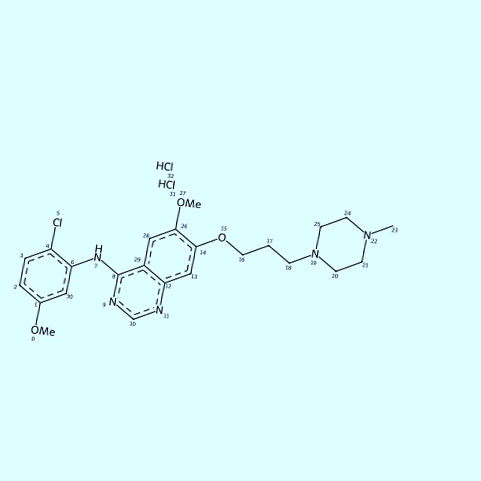 COc1ccc(Cl)c(Nc2ncnc3cc(OCCCN4CCN(C)CC4)c(OC)cc23)c1.Cl.Cl